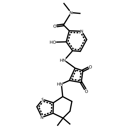 CN(C)C(=O)c1nccc(Nc2c(NC3CCC(C)(C)c4ncsc43)c(=O)c2=O)c1O